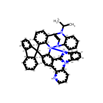 CC(C)N1C2=CN(c3ccccc31)[N+]13c4c2cccc4C2(c4ccccc4-c4ccccc42)c2ccc4c5ncccc5n5c6ccccc6[n+]1c5c4c23